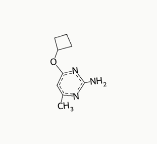 Cc1cc(OC2CCC2)nc(N)n1